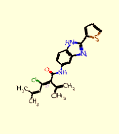 C=C(C)/C(C(=O)Nc1ccc2[nH]c(-c3cccs3)nc2c1)=C(/Cl)C=C(C)C